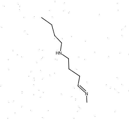 CCCCNCCCC=NC